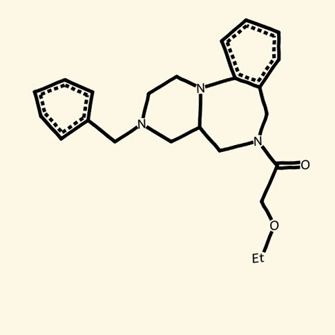 CCOCC(=O)N1Cc2ccccc2N2CCN(Cc3ccccc3)CC2C1